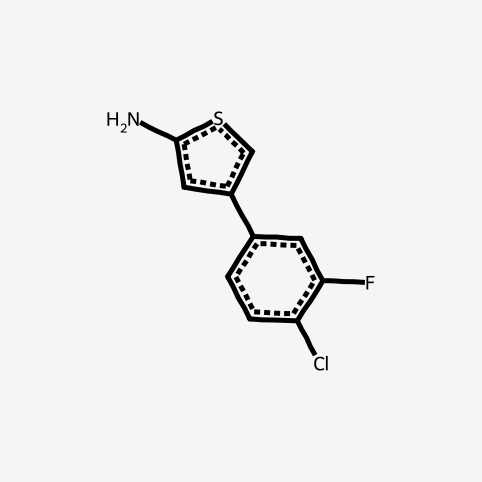 Nc1cc(-c2ccc(Cl)c(F)c2)cs1